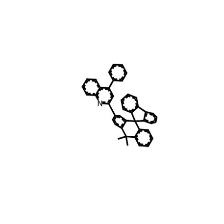 CC1(C)c2ccccc2C2(c3ccccc3-c3ccccc32)c2cc(-c3cc(-c4ccccc4)c4ccccc4n3)ccc21